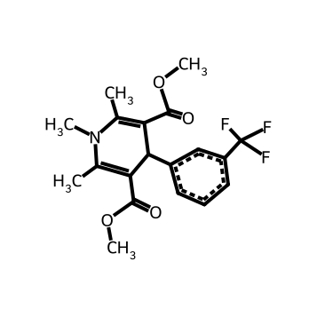 COC(=O)C1=C(C)N(C)C(C)=C(C(=O)OC)C1c1cccc(C(F)(F)F)c1